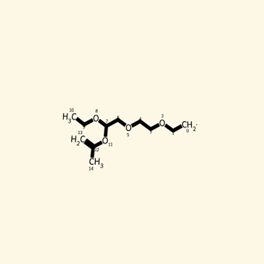 [CH2]COCCOCC(OCC)OC(=C)C